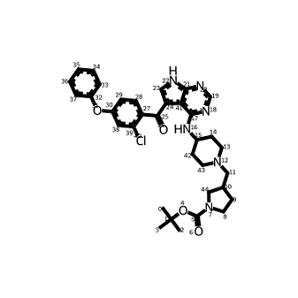 CC(C)(C)OC(=O)N1CCC(CN2CCC(Nc3ncnc4[nH]cc(C(=O)c5ccc(Oc6ccccc6)cc5Cl)c34)CC2)C1